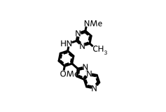 CNc1cc(C)nc(Nc2ccc(OC)c(-c3cc4cnccn4n3)c2)n1